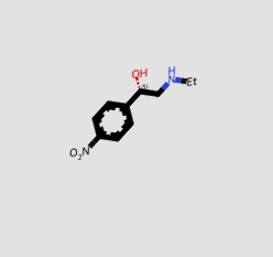 CCNC[C@@H](O)c1ccc([N+](=O)[O-])cc1